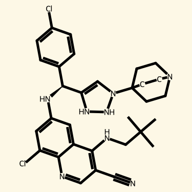 CC(C)(C)CNc1c(C#N)cnc2c(Cl)cc(N[C@H](C3=CN(C45CCN(CC4)CC5)NN3)c3ccc(Cl)cc3)cc12